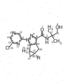 CC(C)(CO)NC(=O)c1nn(-c2cncc(Cl)n2)c2c1C[C@H]1C[C@@H]21